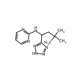 CC(C)(C)CC(Nc1ncccn1)c1nn[nH]n1